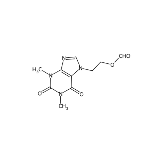 Cn1c(=O)c2c(ncn2CCO[C]=O)n(C)c1=O